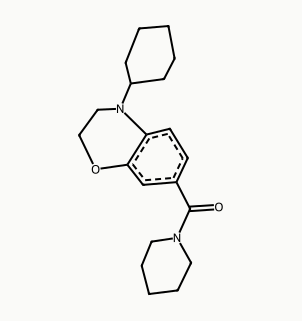 O=C(c1ccc2c(c1)OCCN2C1CCCCC1)N1CCCCC1